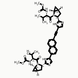 COC(=O)N[C@H](C(=O)N1[C@@H]2C[C@@H]2C[C@H]1c1ncc(C#Cc2ccc3cc(-c4cnc([C@@H]5C[C@H]6C[C@H]6N5C(=O)[C@@H](NC(=O)OC)C(C)C)[nH]4)ccc3c2)[nH]1)C(C)C